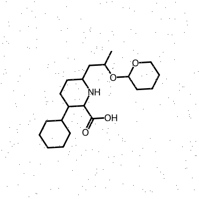 CC(CC1CCC(C2CCCCC2)C(C(=O)O)N1)OC1CCCCO1